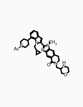 CC(=O)N1CCC(c2cccc3cc(-c4nc5cc6c(cc5n4C)CCN(CC4COCCN4)C6=O)n(CC4CC4)c23)CC1